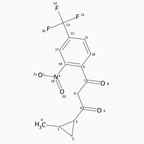 CC1CC1C(=O)CC(=O)c1ccc(C(F)(F)F)cc1[N+](=O)[O-]